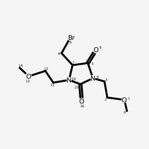 COCCN1C(=O)C(CBr)N(CCOC)C1=O